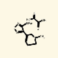 CSc1nsnc1C1=CCCN(C)C1.O=C(O)C(=O)O